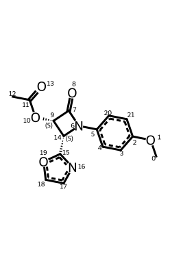 COc1ccc(N2C(=O)[C@@H](OC(C)=O)[C@H]2c2ncco2)cc1